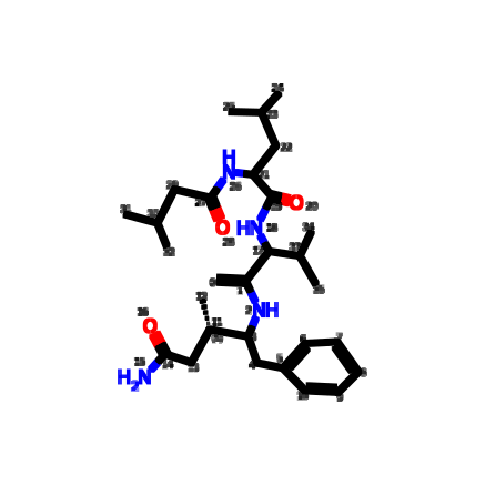 C=C(NC(Cc1ccccc1)[C@@H](C)CC(N)=O)C(NC(=O)C(CC(C)C)NC(=O)CC(C)C)C(C)C